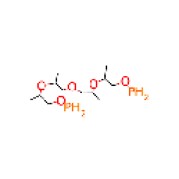 CC(COP)OC(C)COCC(C)OC(C)COP